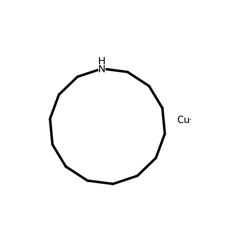 C1CCCCCCNCCCCCC1.[Cu]